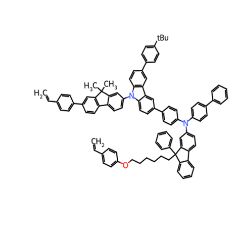 C=Cc1ccc(OCCCCCCC2(c3ccccc3)c3ccccc3-c3ccc(N(c4ccc(-c5ccccc5)cc4)c4ccc(-c5ccc6c(c5)c5cc(-c7ccc(C(C)(C)C)cc7)ccc5n6-c5ccc6c(c5)C(C)(C)c5cc(-c7ccc(C=C)cc7)ccc5-6)cc4)cc32)cc1